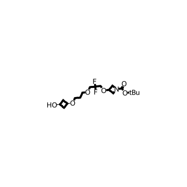 CC(C)(C)OC(=O)N1CC(OCC(F)(F)COCCCO[C@H]2C[C@@H](O)C2)C1